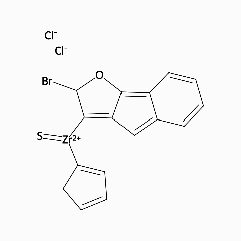 [Cl-].[Cl-].[S]=[Zr+2]([C]1=CC=CC1)[C]1=C2C=c3ccccc3=C2OC1Br